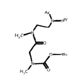 CCCN(CCN(C)C(=O)CN(C)C(=O)OC(C)(C)C)C(C)=O